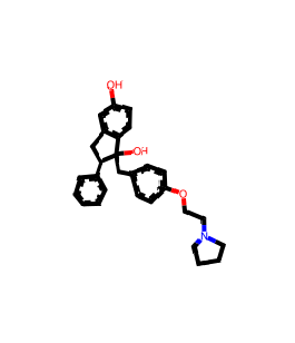 Oc1ccc2c(c1)CC(c1ccccc1)C2(O)Cc1ccc(OCCN2CCCC2)cc1